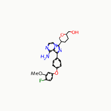 COc1cc(Oc2ccc(-c3nc(C4CCC(CO)OC4)n4ccnc(N)c34)cc2)ccc1F